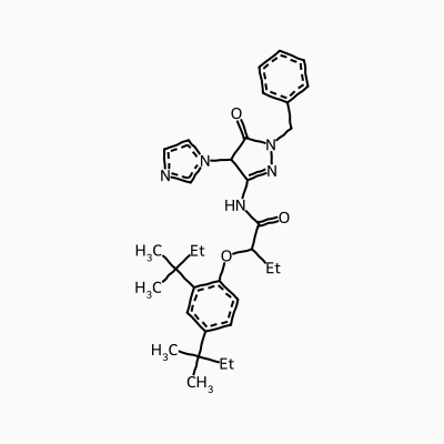 CCC(Oc1ccc(C(C)(C)CC)cc1C(C)(C)CC)C(=O)NC1=NN(Cc2ccccc2)C(=O)C1n1ccnc1